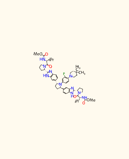 COC(=O)N[C@H](C(=O)N1CCC[C@H]1c1nc2cc([C@H]3CC[C@H](c4ccc5nc([C@@H]6CCCN6C(=O)[C@@H](NC(=O)OC)C(C)C)[nH]c5c4)N3c3ccc(N4CCC(C)(C)CC4)c(F)c3)ccc2[nH]1)C(C)C